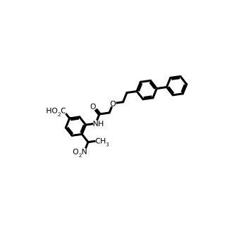 CC(c1ccc(C(=O)O)cc1NC(=O)COCCc1ccc(-c2ccccc2)cc1)[N+](=O)[O-]